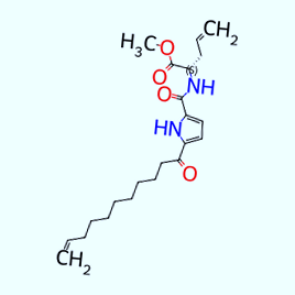 C=CCCCCCCCCC(=O)c1ccc(C(=O)N[C@@H](CC=C)C(=O)OC)[nH]1